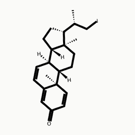 C[C@H](CI)[C@H]1CC[C@H]2[C@@H]3C=CC4=CC(=O)C=C[C@]4(C)[C@H]3CC[C@]12C